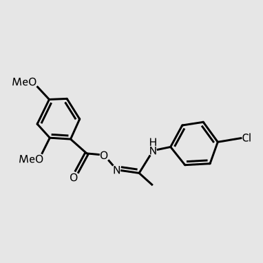 COc1ccc(C(=O)ON=C(C)Nc2ccc(Cl)cc2)c(OC)c1